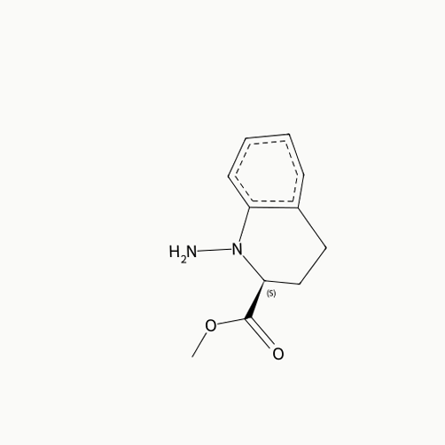 COC(=O)[C@@H]1CCc2ccccc2N1N